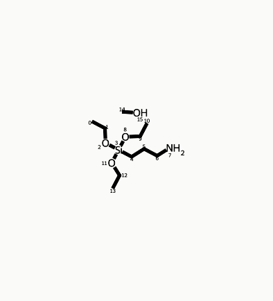 CCO[Si](CCCN)(OCC)OCC.CO